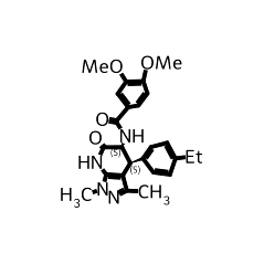 CCc1ccc([C@H]2c3c(C)nn(C)c3NC(=O)[C@H]2NC(=O)c2ccc(OC)c(OC)c2)cc1